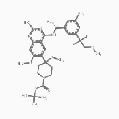 COCC(F)(F)c1cc(N)cc([C@@H](C)Nc2nc(C)nc3cc(OC)c(C4(OC)CCN(C(=O)OC(C)(C)C)CC4)cc23)c1